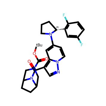 CC(C)(C)OC(=O)N1CC2CCC(C1)N2C(=O)c1cnn2ccc(N3CCC[C@@H]3c3cc(F)ccc3F)cc12